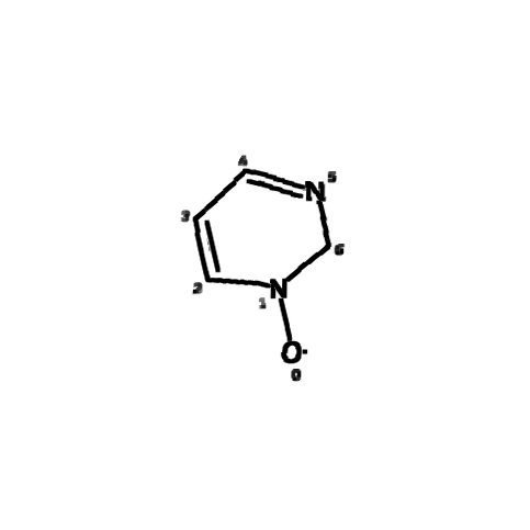 [O]N1C=CC=NC1